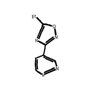 CCc1nc(-c2ccnnc2)no1